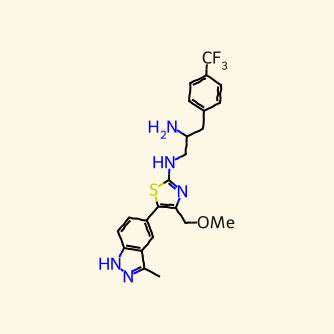 COCc1nc(NCC(N)Cc2ccc(C(F)(F)F)cc2)sc1-c1ccc2[nH]nc(C)c2c1